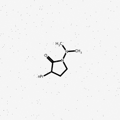 CCCC1CCN(N(C)C)C1=O